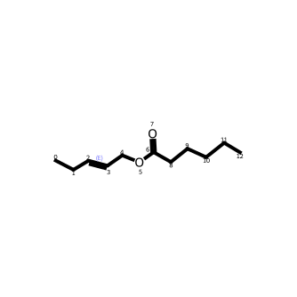 CC/C=C/COC(=O)CCCCC